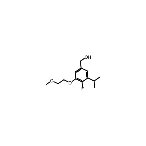 COCCOc1cc(CO)cc(C(C)C)c1F